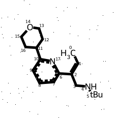 C/C=C(/CNC(C)(C)C)c1cccc(C2CCOCC2)n1